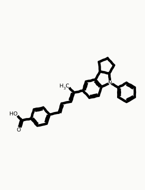 CC(=CC=Cc1ccc(C(=O)O)cc1)c1ccc2c(c1)C1CCCC1N2c1ccccc1